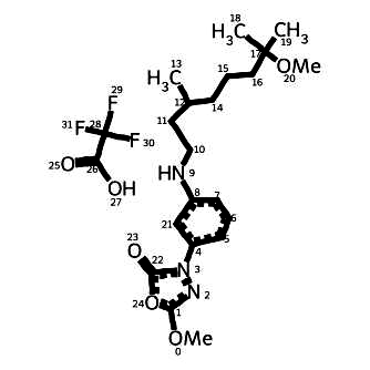 COc1nn(-c2cccc(NCCC(C)CCCC(C)(C)OC)c2)c(=O)o1.O=C(O)C(F)(F)F